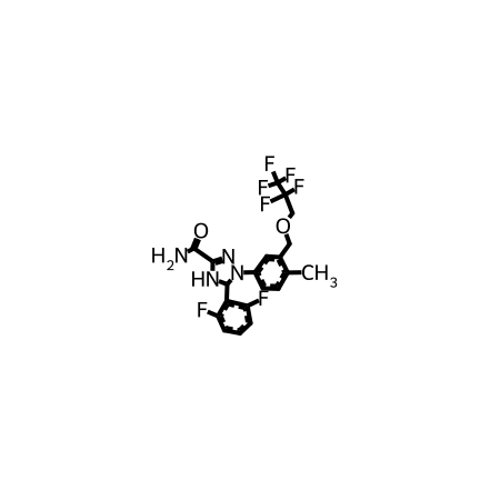 Cc1ccc(N2N=C(C(N)=O)NC2c2c(F)cccc2F)cc1COCC(F)(F)C(F)(F)F